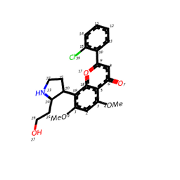 COc1cc(OC)c2c(=O)cc(-c3ccccc3Cl)oc2c1C1CCNC1CCO